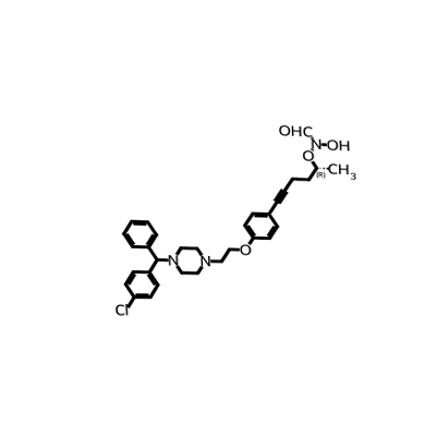 C[C@H](CCC#Cc1ccc(OCCN2CCN(C(c3ccccc3)c3ccc(Cl)cc3)CC2)cc1)ON(O)C=O